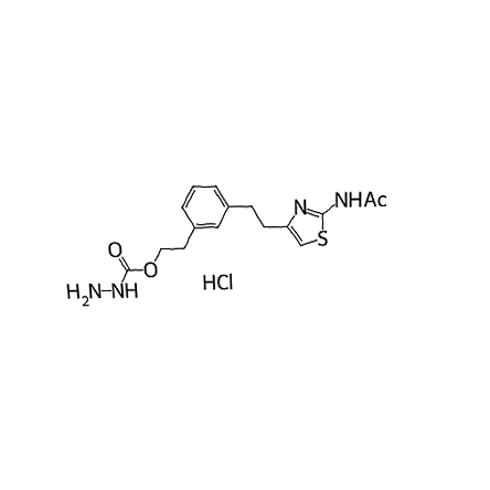 CC(=O)Nc1nc(CCc2cccc(CCOC(=O)NN)c2)cs1.Cl